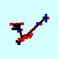 CCC(CC)CCOP(=O)(O)OCC(CCCCNC(=O)c1ccc(C2(C)c3ccc(O)cc3Oc3cc(O)ccc32)c(C=O)c1)COP(=O)(O)OCC(COCCOCCOCCOCCCNC(=O)CCCCC1SCC2NC(=O)NC21)O[PH](=O)O